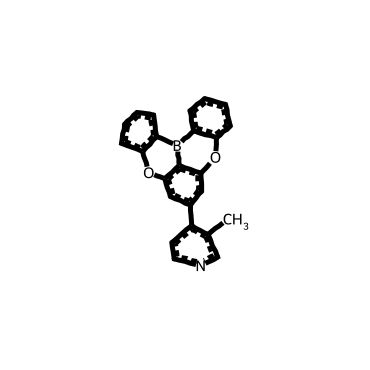 Cc1cnccc1-c1cc2c3c(c1)Oc1ccccc1B3c1ccccc1O2